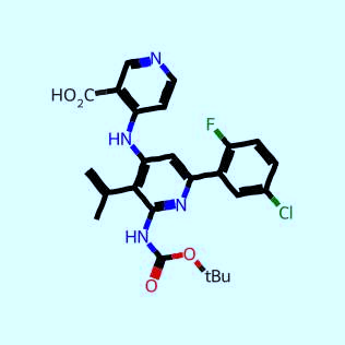 C=C(C)c1c(Nc2ccncc2C(=O)O)cc(-c2cc(Cl)ccc2F)nc1NC(=O)OC(C)(C)C